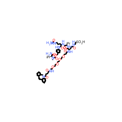 CC(C)[C@H](NC(=O)[C@@H](CCC(=O)NCCS(=O)(=O)O)NC(=O)CCOCCOCCOCCOCCNC(=O)CCC(=O)N1Cc2ccccc2C#Cc2ccccc21)C(=O)NC(CCCNC(N)=O)C(=O)Nc1ccc(COC(=O)N(C)[C@H](C(N)=O)C(C)C)cc1